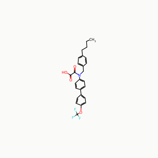 CCCCc1ccc(CN(C(=O)C(=O)O)c2ccc(-c3ccc(OC(F)(F)F)cc3)cc2)cc1